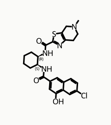 CN1CCc2nc(C(=O)N[C@@H]3CCCC[C@@H]3NC(=O)c3cc(O)c4cc(Cl)ccc4c3)sc2C1